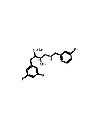 CC(=O)NC(Cc1cc(F)cc(F)c1)[C@H](O)CNCc1cccc(Br)c1